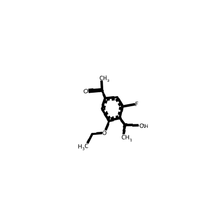 CCOc1cc(C(C)=O)cc(F)c1C(C)O